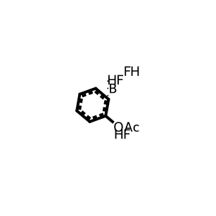 CC(=O)Oc1ccccc1.F.F.F.[B]